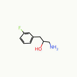 NCC(O)Cc1cccc(F)c1